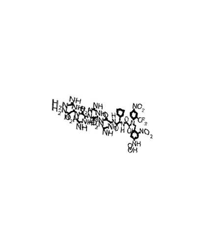 N=C(N)NC(NC(=O)C(NC(=N)N)NC(=O)C(NC(=N)N)NC(=O)C(NC(=N)N)NC(=O)C(NC(=O)C(O)N(Cc1ccc(NOO)cc1[N+](=O)[O-])c1ccc([N+](=O)[O-])cc1C(F)(F)F)c1ccccc1)C(N)=O